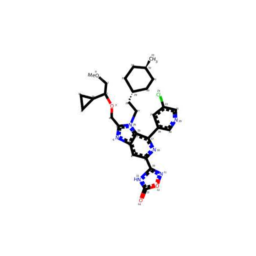 COCC(OCc1nc2cc(-c3noc(=O)[nH]3)nc(-c3cncc(Cl)c3)c2n1CC[C@H]1CC[C@H](C)CC1)C1CC1